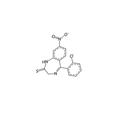 O=[N+]([O-])c1ccc2c(c1)NC(=S)CN=C2c1ccccc1Cl